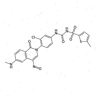 CNc1ccc2c(=O)n(-c3ccc(NC(=O)NS(=O)(=O)c4ccc(C)s4)cc3Cl)cc(N=O)c2c1